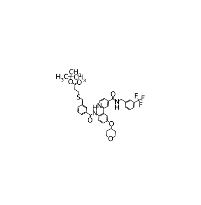 CC(C)(C)OC(=O)CCSCc1cccc(C(=O)Nc2ccc(OC3CCOCC3)cc2-c2cc(C(=O)NCc3cccc(C(F)(F)F)c3)ccn2)c1